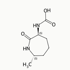 C[C@H]1CCC[C@H](NC(=O)O)C(=O)N1